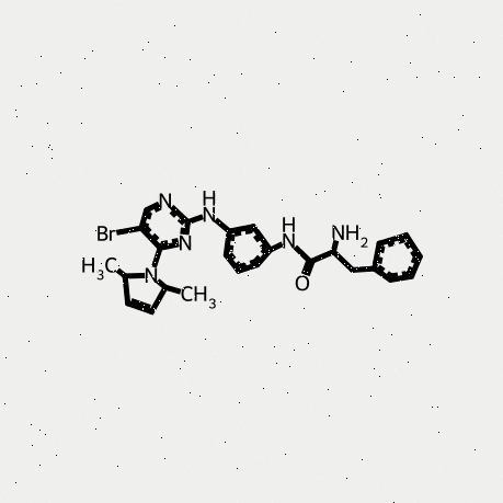 CC1C=CC(C)N1c1nc(Nc2cccc(NC(=O)C(N)Cc3ccccc3)c2)ncc1Br